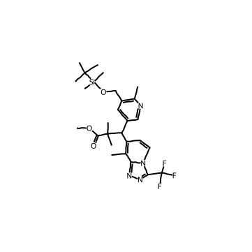 COC(=O)C(C)(C)C(c1cnc(C)c(CO[Si](C)(C)C(C)(C)C)c1)c1ccn2c(C(F)(F)F)nnc2c1C